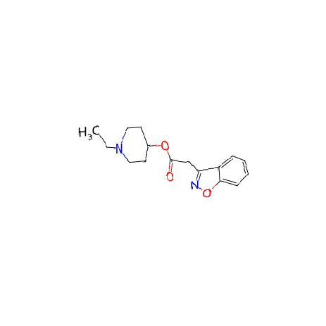 CCN1CCC(OC(=O)Cc2noc3ccccc23)CC1